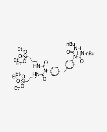 CCCCNC(=O)N(C(=O)NCCCC)c1ccc(Cc2ccc(N(C(=O)NCCC[Si](OCC)(OCC)OCC)C(=O)NCCC[Si](OCC)(OCC)OCC)cc2)cc1